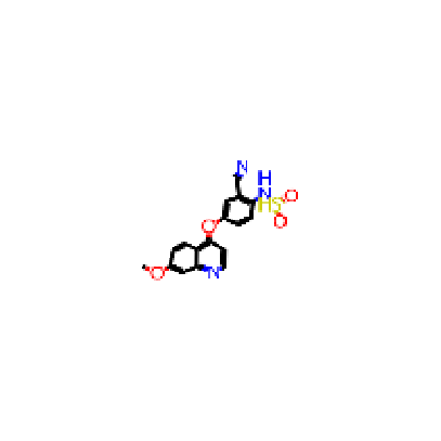 COc1ccc2c(Oc3ccc(N[SH](=O)=O)c(C#N)c3)ccnc2c1